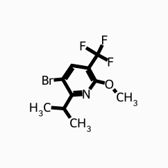 COc1nc(C(C)C)c(Br)cc1C(F)(F)F